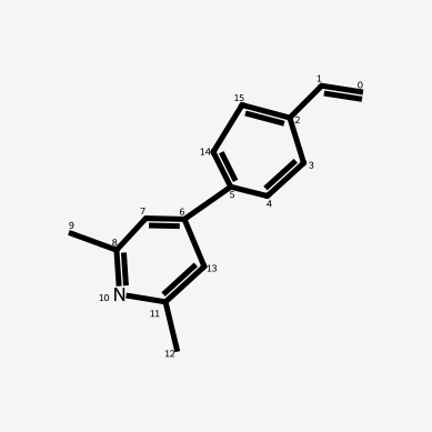 C=Cc1ccc(-c2cc(C)nc(C)c2)cc1